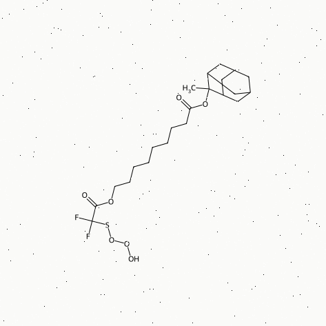 CC1(OC(=O)CCCCCCCCOC(=O)C(F)(F)SOOO)C2CC3CC(C2)CC1C3